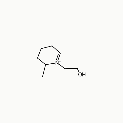 CC1CCCC=[N+]1CCO